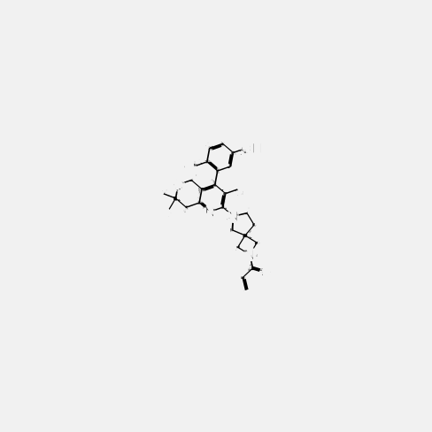 C=CC(=O)N1CC2(CCN(c3nc4c(c(-c5cc(O)ccc5Cl)c3C)COC(C)(C)C4)C2)C1